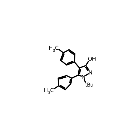 Cc1ccc(-c2c(O)nn(C(C)(C)C)c2-c2ccc(C)cc2)cc1